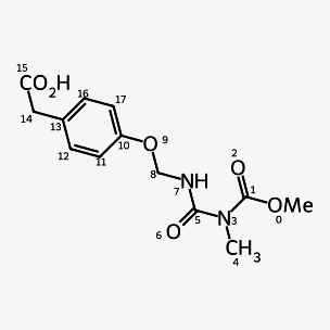 COC(=O)N(C)C(=O)NCOc1ccc(CC(=O)O)cc1